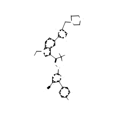 CCn1cc(/C(=N/Nc2nc(-c3ccc(F)cc3)c(C#N)s2)C(F)(F)F)c2cc(-c3nc(CN4CCOCC4)cs3)ccc21